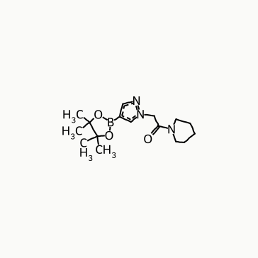 CC1(C)OB(c2cnn(CC(=O)N3CCCCC3)c2)OC1(C)C